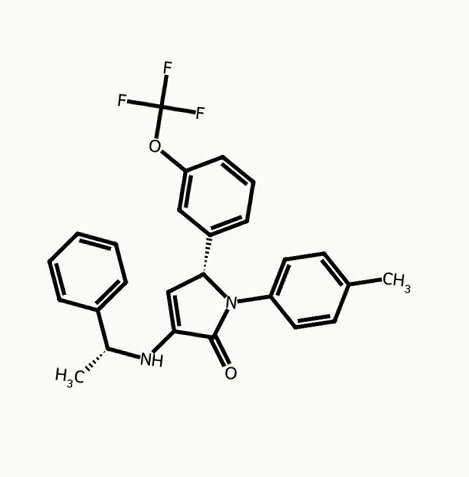 Cc1ccc(N2C(=O)C(N[C@H](C)c3ccccc3)=C[C@@H]2c2cccc(OC(F)(F)F)c2)cc1